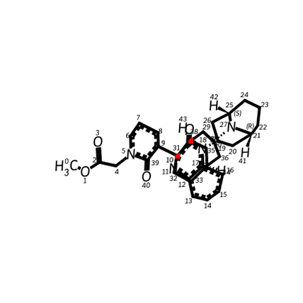 COC(=O)Cn1cccc(-c2nc3ccccc3n([C@H]3C[C@H]4CCC[C@@H](C3)N4[C@H]3C[C@@H]4CCC[C@@H](C4)C3)c2=O)c1=O